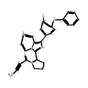 CC#CC(=O)N1CCCC1c1nc(-c2ccc(Oc3ccccc3)c(Cl)c2)c2cnccn12